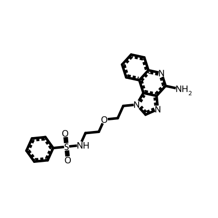 Nc1nc2ccccc2c2c1ncn2CCOCCNS(=O)(=O)c1ccccc1